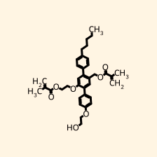 C=C(C)C(=O)OCCOc1cc(-c2ccc(CCCCC)cc2)c(COC(=O)C(=C)C)cc1-c1ccc(OCCO)cc1